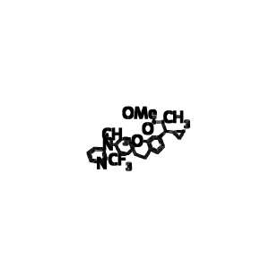 COC(=O)[C@@H](C)[C@H](c1ccc2c(c1)OC1(CC2)CCC(N(C)c2cccnc2C(F)(F)F)CC1)C1CC1